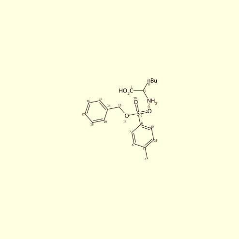 CCCCC(N)C(=O)O.Cc1ccc(S(=O)(=O)OCc2ccccc2)cc1